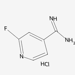 Cl.N=C(N)c1ccnc(F)c1